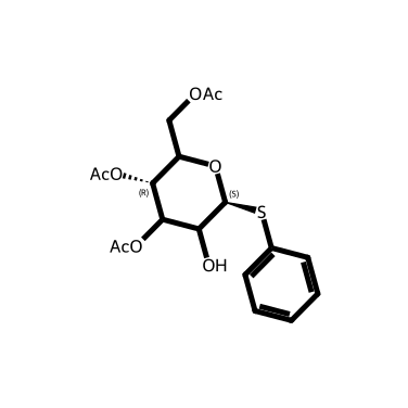 CC(=O)OCC1O[C@@H](Sc2ccccc2)C(O)C(OC(C)=O)[C@@H]1OC(C)=O